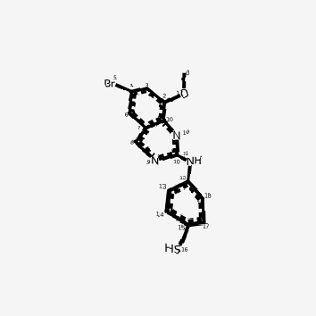 COc1cc(Br)cc2cnc(Nc3ccc(S)cc3)nc12